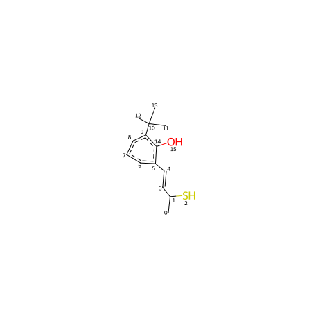 CC(S)C=Cc1cccc(C(C)(C)C)c1O